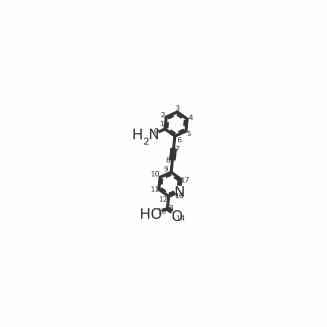 Nc1ccccc1C#Cc1ccc(C(=O)O)nc1